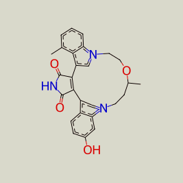 Cc1cccc2c1c1cn2CCOC(C)CCn2cc(c3ccc(O)cc32)C2=C1C(=O)NC2=O